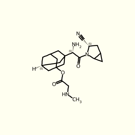 CNCC(=O)OC12CC3C[C@H](C1)CC([C@H](N)C(=O)N1C4CC4C[C@H]1C#N)(C3)C2